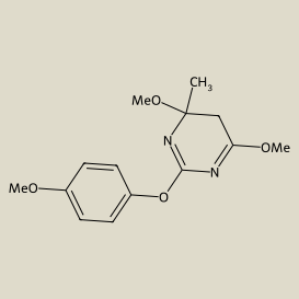 COC1=NC(Oc2ccc(OC)cc2)=NC(C)(OC)C1